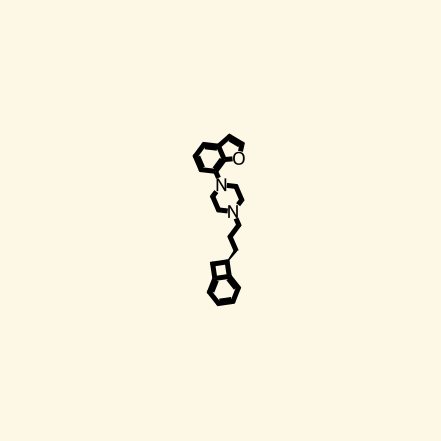 c1ccc2c(c1)C[C@H]2CCCN1CCN(c2cccc3ccoc23)CC1